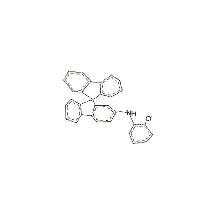 Clc1ccccc1Nc1ccc2c(c1)C1(c3ccccc3-c3ccccc31)c1ccccc1-2